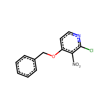 O=[N+]([O-])c1c(OCc2ccccc2)ccnc1Cl